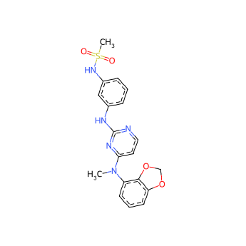 CN(c1ccnc(Nc2cccc(NS(C)(=O)=O)c2)n1)c1cccc2c1OCO2